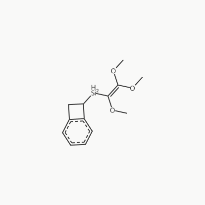 COC(OC)=C(OC)[SiH2]C1Cc2ccccc21